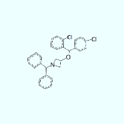 Clc1ccc(C(OC2CN(C(c3ccccc3)c3ccccc3)C2)c2ccccc2Cl)cc1